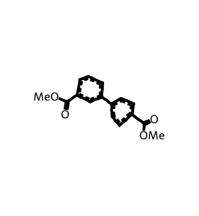 COC(=O)c1ccc(-c2cccc(C(=O)OC)c2)cc1